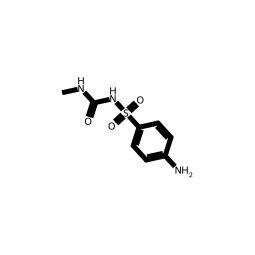 CNC(=O)NS(=O)(=O)c1ccc(N)cc1